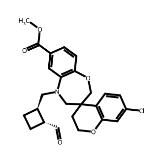 COC(=O)c1ccc2c(c1)N(C[C@@H]1CC[C@H]1C=O)CC1(CCOc3cc(Cl)ccc31)CO2